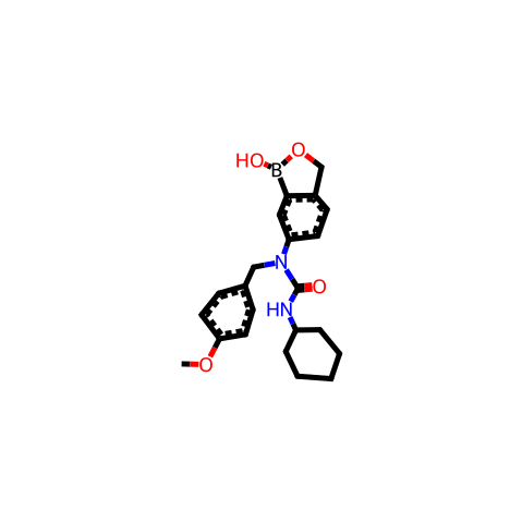 COc1ccc(CN(C(=O)NC2CCCCC2)c2ccc3c(c2)B(O)OC3)cc1